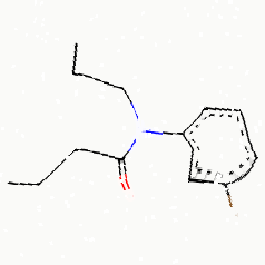 CCCC(=O)N(CCC)c1cccc(Br)c1